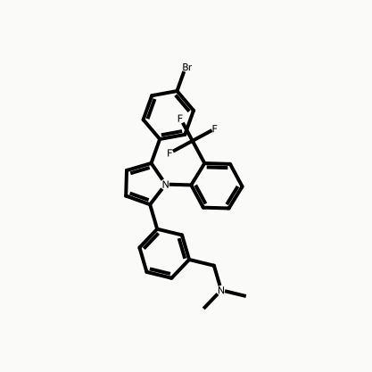 CN(C)Cc1cccc(-c2ccc(-c3ccc(Br)cc3)n2-c2ccccc2C(F)(F)F)c1